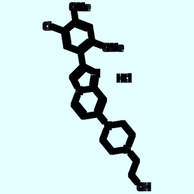 COc1cc(OC)c(-c2cn3ccc(N4CCN(CCO)CC4)cc3n2)cc1Cl.Cl